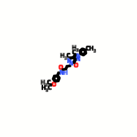 Cc1ccc(-n2nc3c(=O)n(CCCC(=O)NCc4ccc(OC(C)C)cc4)nc(C)c3c2C)cc1